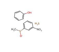 C[S+]([O-])c1cccc([N+](=O)[O-])c1.Oc1ccccc1.S